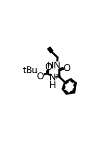 C#CCNC(=O)[C@H](NC(=O)OC(C)(C)C)c1ccccc1